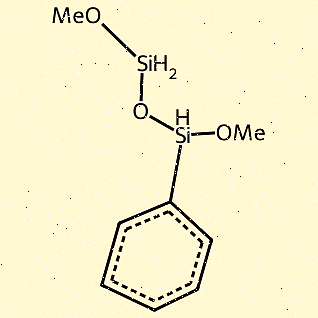 CO[SiH2]O[SiH](OC)c1ccccc1